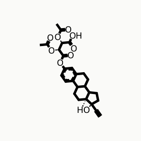 C#C[C@]1(O)CCC2C3CCc4cc(OC(=O)[C@H](OC(C)=O)[C@H](OC(C)=O)C(=O)O)ccc4C3CC[C@@]21C